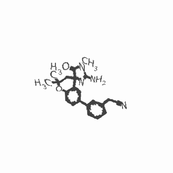 CN1C(=O)C2(CC(C)(C)Oc3ccc(-c4cccc(CC#N)c4)cc32)N=C1N